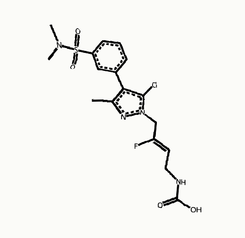 Cc1nn(C/C(F)=C/CNC(=O)O)c(Cl)c1-c1cccc(S(=O)(=O)N(C)C)c1